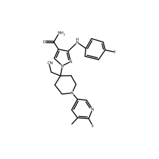 Cc1cc(N2CCC(CC#N)(n3cc(C(N)=O)c(Nc4ccc(F)cc4)n3)CC2)cnc1F